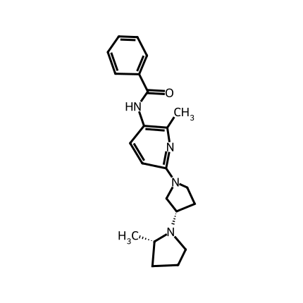 Cc1nc(N2CC[C@H](N3CCC[C@@H]3C)C2)ccc1NC(=O)c1ccccc1